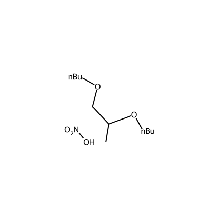 CCCCOCC(C)OCCCC.O=[N+]([O-])O